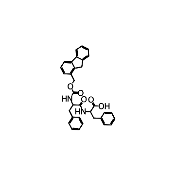 O=C(NC(Cc1ccccc1)C(=O)NC(Cc1ccccc1)C(=O)O)OCc1cccc2c1Cc1ccccc1-2